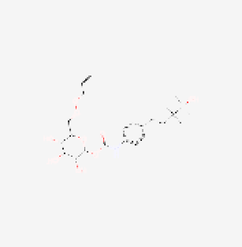 C=CCOOCC1OC(OC(=O)Nc2ccc(CCC(C)(C)[Si](C)(C)O)cc2)C(O)C(O)C1O